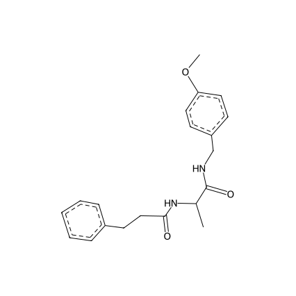 COc1ccc(CNC(=O)C(C)NC(=O)CCc2ccccc2)cc1